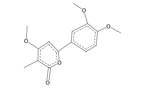 COc1ccc(-c2cc(OC)c(C)c(=O)o2)cc1OC